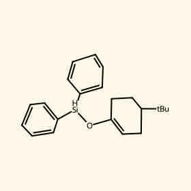 CC(C)(C)C1CC=C(O[SiH](c2ccccc2)c2ccccc2)CC1